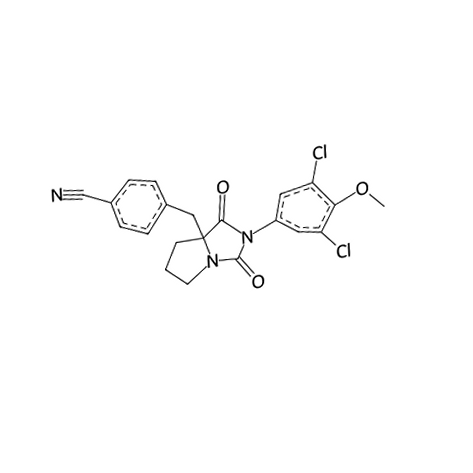 COc1c(Cl)cc(N2C(=O)N3CCCC3(Cc3ccc(C#N)cc3)C2=O)cc1Cl